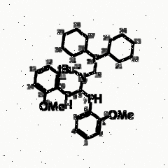 COc1ccccc1PC(Pc1ccccc1OC)N(CP(C1CCCCC1)C1CCCCC1)C(C)(C)C